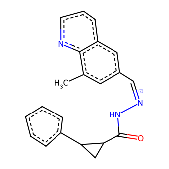 Cc1cc(/C=N\NC(=O)C2CC2c2ccccc2)cc2cccnc12